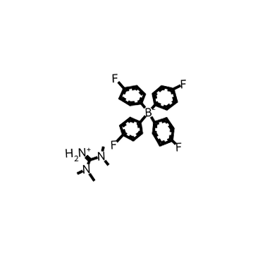 CN(C)C(=[NH2+])N(C)C.Fc1ccc([B-](c2ccc(F)cc2)(c2ccc(F)cc2)c2ccc(F)cc2)cc1